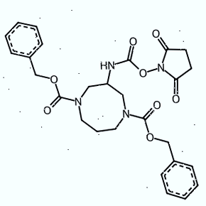 O=C(NC1CN(C(=O)OCc2ccccc2)CCCN(C(=O)OCc2ccccc2)C1)ON1C(=O)CCC1=O